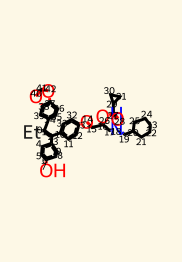 CCC(=C(c1ccc(O)cc1)c1ccc(OCC(CNCC2CCCCC2)OC(=O)C2CC2)cc1)c1ccc2c(c1)OCO2